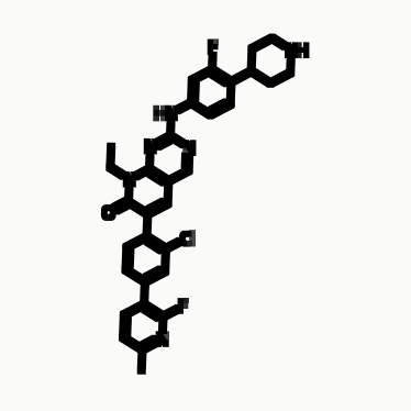 CCn1c(=O)c(-c2ccc(-c3ccc(C)nc3F)cc2Cl)cc2cnc(Nc3ccc(C4CCNCC4)c(F)c3)nc21